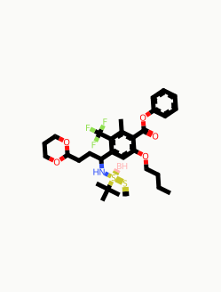 B=S(NC(CCC1OCCCO1)c1cc(OCCCC)c(C(=O)Oc2ccccc2)c(C)c1C(F)(F)F)(=S=C)C(C)(C)C